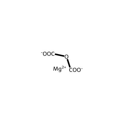 O=C([O-])OC(=O)[O-].[Mg+2]